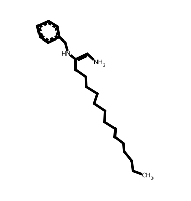 CCCCCCCCCCCCCCC(=CN)NCc1ccccc1